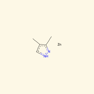 Cc1c[nH]nc1C.[Zn]